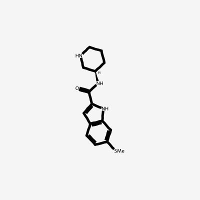 CSc1ccc2cc(C(=O)N[C@@H]3CCCNC3)[nH]c2c1